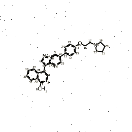 Cc1ccc(-c2cnn3cc(-c4ccc(OCCN5CCCC5)cc4)cnc23)c2ccccc12